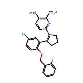 CSc1ccc(C2=C(c3cc(Cl)ccc3OCc3ccccc3F)CCC2)nc1C(=O)O